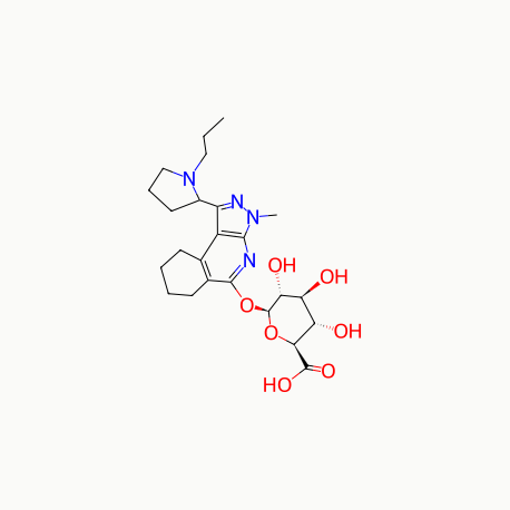 CCCN1CCCC1c1nn(C)c2nc(O[C@@H]3O[C@H](C(=O)O)[C@@H](O)[C@H](O)[C@H]3O)c3c(c12)CCCC3